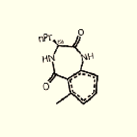 CCC[C@@H]1NC(=O)c2c(C)cccc2NC1=O